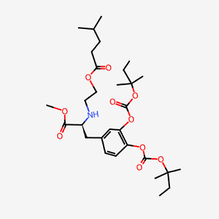 CCC(C)(C)OC(=O)Oc1ccc(C[C@H](NCCOC(=O)CCC(C)C)C(=O)OC)cc1OC(=O)OC(C)(C)CC